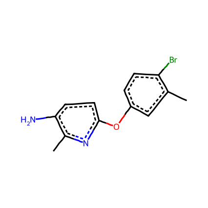 Cc1cc(Oc2ccc(N)c(C)n2)ccc1Br